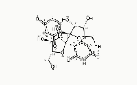 O=c1ccn([C@]2([C@@]3(n4ccc(=O)[nH]c4=O)O[C@H](CO)[C@@H](O)[C@H]3O)O[C@H](CO)[C@@H](O)[C@H]2O)c(=O)[nH]1